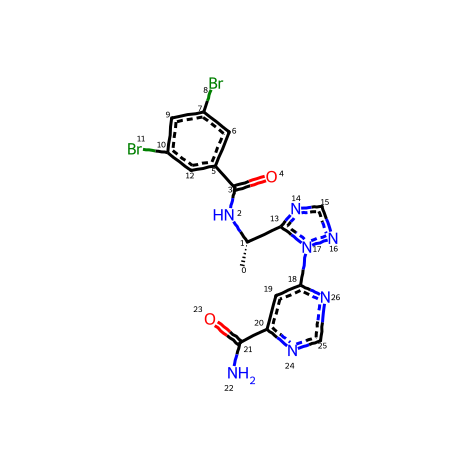 C[C@H](NC(=O)c1cc(Br)cc(Br)c1)c1ncnn1-c1cc(C(N)=O)ncn1